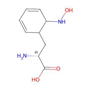 N[C@H](CC1C=CC=CC1NO)C(=O)O